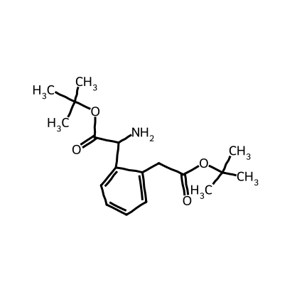 CC(C)(C)OC(=O)Cc1ccccc1C(N)C(=O)OC(C)(C)C